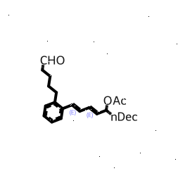 CCCCCCCCCCC(/C=C/C=C/c1ccccc1CCCCC=O)OC(C)=O